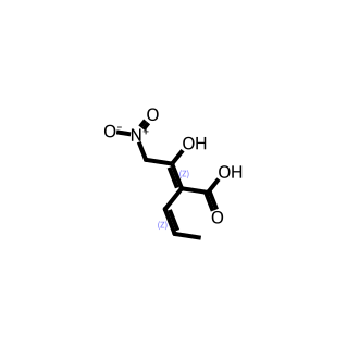 C/C=C\C(C(=O)O)=C(\O)C[N+](=O)[O-]